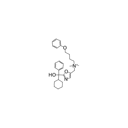 C[N+](C)(CCCCOc1ccccc1)Cc1cnc(C(O)(c2ccccc2)C2CCCCC2)o1